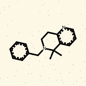 CC1(C)c2cccnc2CCN1Cc1ccccc1